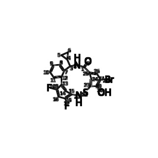 O=C1NC(C2CC2)c2ccccc2-c2cc(c(F)cc2F)NSc2cc1cc(Br)c2O